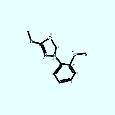 COC1=NN(c2ccccc2OC)CO1